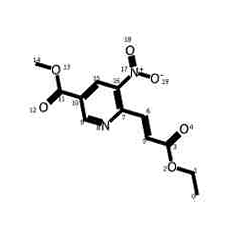 CCOC(=O)/C=C/c1ncc(C(=O)OC)cc1[N+](=O)[O-]